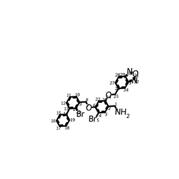 NCc1cc(Br)c(OCc2cccc(-c3ccccc3)c2Br)cc1OCc1ccc2nonc2c1